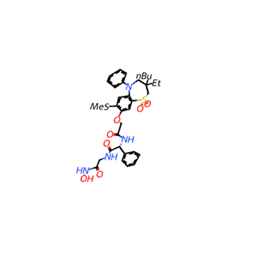 CCCCC1(CC)CN(c2ccccc2)c2cc(SC)c(OCC(=O)N[C@@H](C(=O)NCC(=O)NO)c3ccccc3)cc2S(=O)(=O)C1